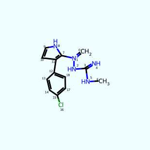 C=[N+](NC(=N)NC)c1[nH]ccc1-c1ccc(Cl)cc1